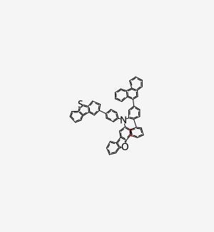 c1ccc(-c2ccc(-c3cc4ccccc4c4ccccc34)cc2N(c2ccc(-c3ccc4sc5ccccc5c4c3)cc2)c2ccc3oc4ccccc4c3c2)cc1